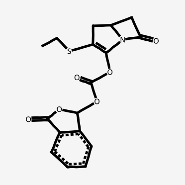 CCSC1=C(OC(=O)OC2OC(=O)c3ccccc32)N2C(=O)CC2C1